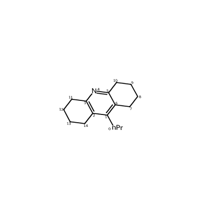 CCCc1c2c(nc3c1CCCC3)CCCC2